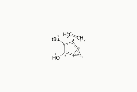 C=C.CC(C)(C)c1cc2cc-2c1O